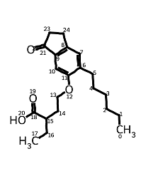 CCCCCCc1cc2c(cc1OCCC(CC)C(=O)O)C(=O)CC2